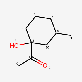 CC(=O)C1(O)CCCC(C)C1